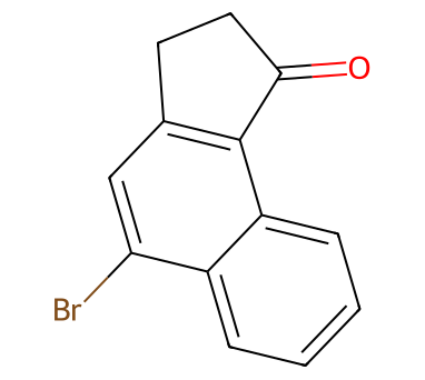 O=C1CCc2cc(Br)c3ccccc3c21